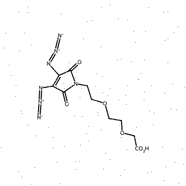 [N-]=[N+]=NC1=C(N=[N+]=[N-])C(=O)N(CCOCCOCC(=O)O)C1=O